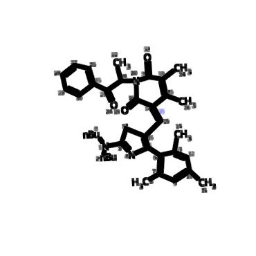 CCCCN(CCCC)C1=NC(c2c(C)cc(C)cc2C)=C(/C=C2\C(=O)N(C(C)C(=O)c3ccccc3)C(=O)C(C)=C2C)C1